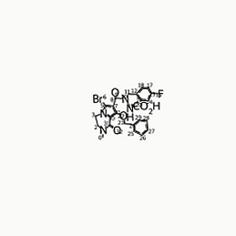 CN1CCn2c(Br)c(C(=O)N(Cc3ccc(F)cc3)NC(=O)O)c(OCc3ccccc3)c2C1=O